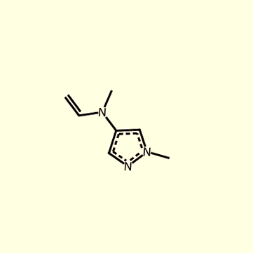 C=CN(C)c1cnn(C)c1